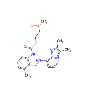 Cc1cccc(NC(=O)OCC[S+](C)[O-])c1CNc1cccn2c(C)c(C)nc12